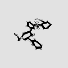 CCCc1ccccc1S(=O)(=O)c1cccc(-c2cn(C(C)C#N)cc(-c3ccccc3)c2=S)c1